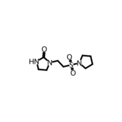 O=C1NCCN1CCS(=O)(=O)N1CCCC1